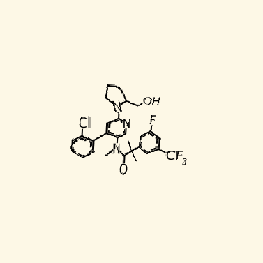 CN(C(=O)C(C)(C)c1cc(F)cc(C(F)(F)F)c1)c1cnc(N2CCCC2CO)cc1-c1ccccc1Cl